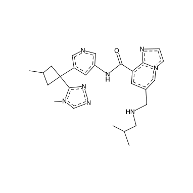 CC(C)CNCc1cc(C(=O)Nc2cncc(C3(c4nncn4C)CC(C)C3)c2)c2nccn2c1